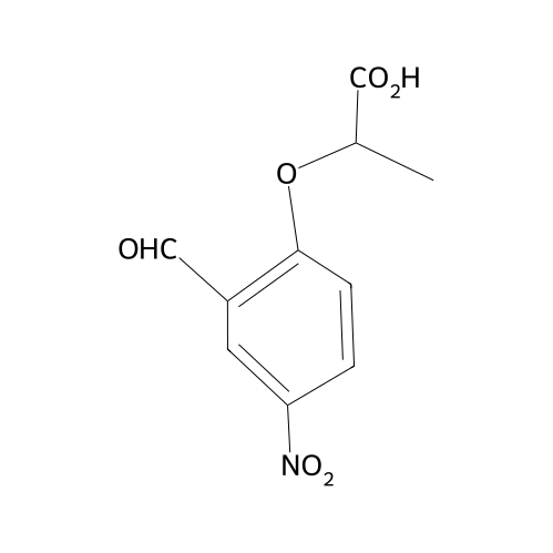 CC(Oc1ccc([N+](=O)[O-])cc1C=O)C(=O)O